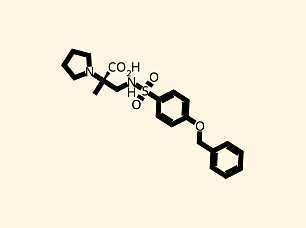 C[C@](CNS(=O)(=O)c1ccc(OCc2ccccc2)cc1)(C(=O)O)N1CCCC1